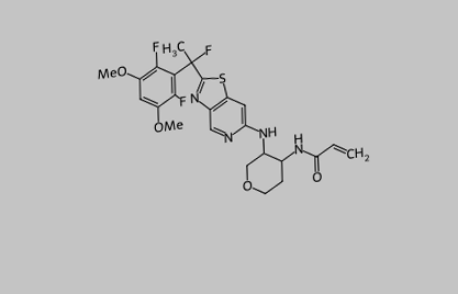 C=CC(=O)NC1CCOCC1Nc1cc2sc(C(C)(F)c3c(F)c(OC)cc(OC)c3F)nc2cn1